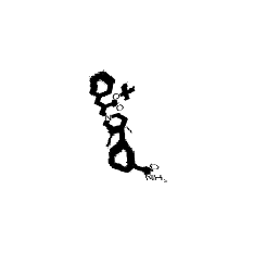 C[C@H]1CN(CC(Cc2ccccc2)C(=O)OC(C)(C)C)CC[C@@]1(C)c1cccc(C(N)=O)c1